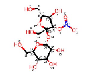 O=[N+]([O-])O[C@H]1[C@H](O)[C@@H](CO)O[C@@]1(CO)O[C@H]1O[C@H](CO)[C@@H](O)[C@H](O)[C@H]1O